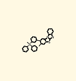 Cc1cc2sc3nc4ccccc4n3c2cc1-c1cccc([Si](C)(c2ccccc2)c2ccccc2)c1